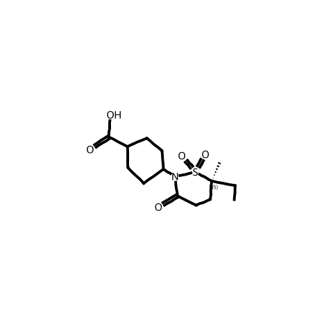 CC[C@@]1(C)CCC(=O)N(C2CCC(C(=O)O)CC2)S1(=O)=O